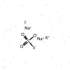 O=S(=O)([O-])[S-].[I-].[K+].[Na+].[Na+]